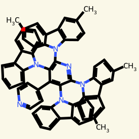 Cc1ccc2c(c1)c1cc(C)ccc1n2-c1nc(-n2c3ccc(C)cc3c3cc(C)ccc32)c(-n2c3ccccc3c3ccccc32)c(-c2ccncc2)c1-n1c2ccccc2c2ccccc21